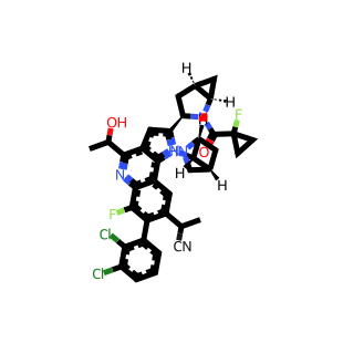 CC(O)c1nc2c(F)c(-c3cccc(Cl)c3Cl)c(C(C)C#N)cc2c2c1cc([C@H]1C[C@H]3C[C@H]3N1C(=O)C1(F)CC1)n2[C@H]1[C@H]2CN[C@@H]1C2